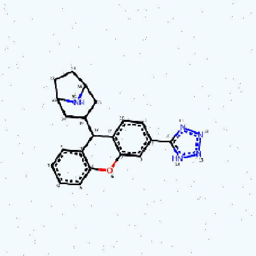 c1ccc2c(c1)Oc1cc(-c3nnn[nH]3)ccc1C2C1CC2CCC(C1)N2